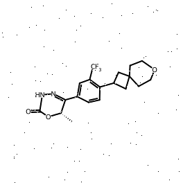 C[C@@H]1OC(=O)NN=C1c1ccc(C2CC3(CCOCC3)C2)c(C(F)(F)F)c1